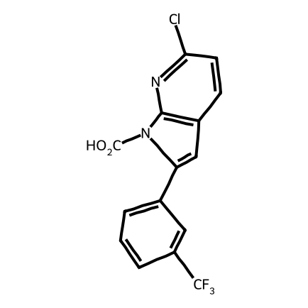 O=C(O)n1c(-c2cccc(C(F)(F)F)c2)cc2ccc(Cl)nc21